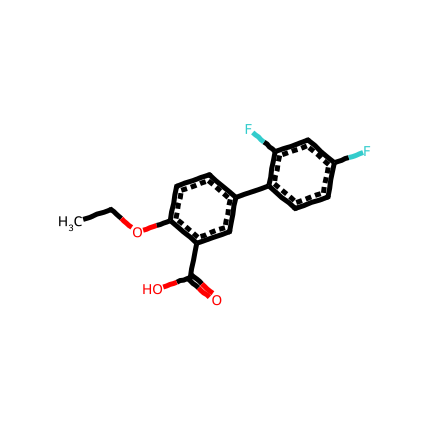 CCOc1ccc(-c2ccc(F)cc2F)cc1C(=O)O